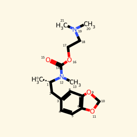 C[C@@H](Cc1ccc2c(c1)OCO2)N(C)C(=O)OCCN(C)C